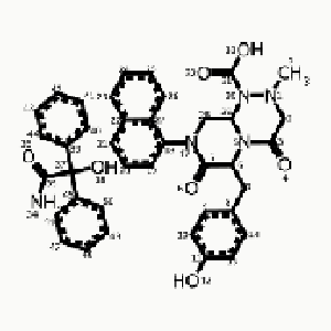 CN1CC(=O)N2C(Cc3ccc(O)cc3)C(=O)N(c3cccc4ccccc34)CC2N1C(=O)O.NC(=O)C(O)(c1ccccc1)c1ccccc1